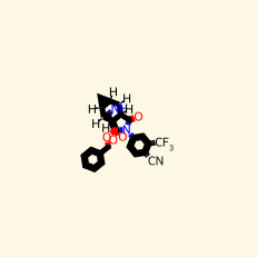 N#Cc1ccc(N2C(=O)[C@@H]3[C@H]4NC(C(=O)OCc5ccccc5)[C@H]([C@H]5C[C@H]54)[C@@H]3C2=O)cc1C(F)(F)F